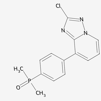 CP(C)(=O)c1ccc(-c2cccn3nc(Cl)nc23)cc1